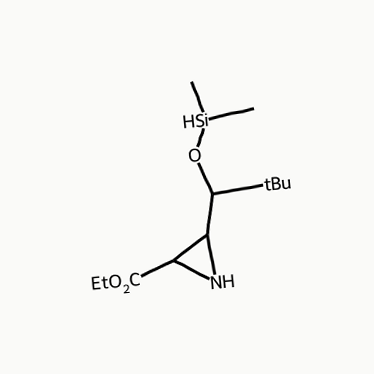 CCOC(=O)C1NC1C(O[SiH](C)C)C(C)(C)C